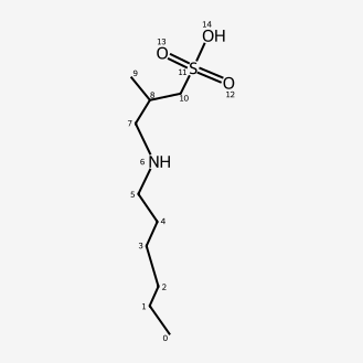 CCCCCCNCC(C)CS(=O)(=O)O